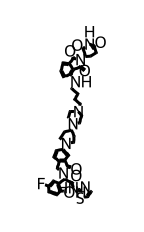 O=C1CCC(N2C(=O)c3cccc(NCCCCN4CCN(C5CCN(c6ccc7c(c6)C(=O)N(C(C(=O)Nc6nccs6)c6cc(F)ccc6O)C7)CC5)CC4)c3C2=O)C(=O)N1